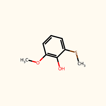 COc1cccc(SC)c1O